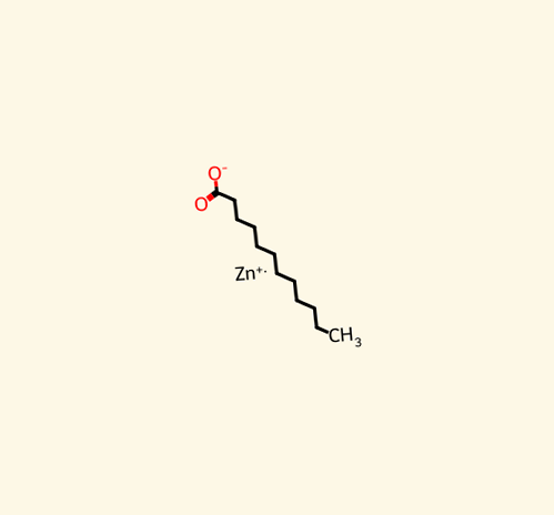 CCCCCCCCCCCC(=O)[O-].[Zn+]